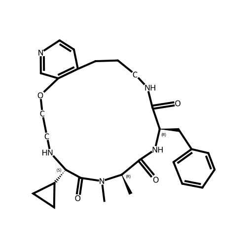 C[C@@H]1C(=O)N[C@H](Cc2ccccc2)C(=O)NCCCc2ccncc2OCCN[C@@H](C2CC2)C(=O)N1C